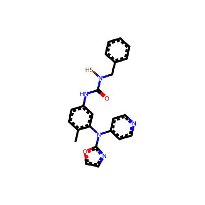 Cc1ccc(NC(=O)N(S)Cc2ccccc2)cc1N(c1ccncc1)c1ncco1